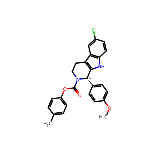 COc1ccc([C@H]2c3[nH]c4ccc(Cl)cc4c3CCN2C(=O)Oc2ccc(C)cc2)cc1